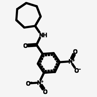 O=C(NC1CCCCCC1)c1cc([N+](=O)[O-])cc([N+](=O)[O-])c1